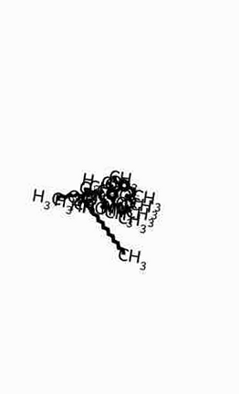 CCCCCCCCCCCCCCNC(=O)N(C)[C@H](COCCCC)C(=O)N[C@H](C)C(=O)NCC(=O)N(C)[C@H](C(=O)N[C@@H](C)C(C)=O)c1ccc(OC)c(-c2cc(C[C@H](C)C(=O)OC)ccc2OC)c1